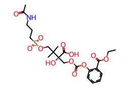 CCOC(=O)c1ccccc1OC(=O)OC[C@@](O)(C(=O)O)C(C)(C)COS(=O)(=O)CCCNC(C)=O